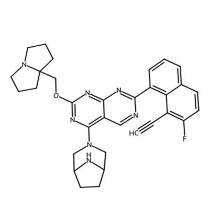 C#Cc1c(F)ccc2cccc(-c3ncc4c(N5CC6CCC(C5)N6)nc(OCC56CCCN5CCC6)nc4n3)c12